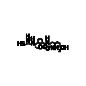 NC(=O)[C@H](Cc1ccc(O)cc1)NC(=O)c1cccc2c1OCCC2NC[C@@H](N)CS